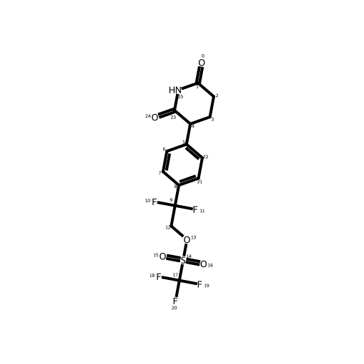 O=C1CCC(c2ccc(C(F)(F)COS(=O)(=O)C(F)(F)F)cc2)C(=O)N1